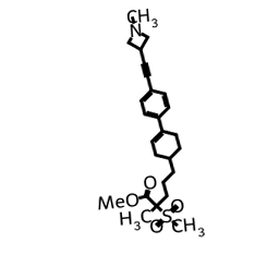 COC(=O)C(C)(CCCC1CC=C(c2ccc(C#CC3CN(C)C3)cc2)CC1)S(C)(=O)=O